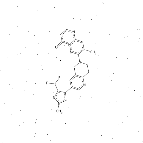 Cc1cc2nccc(=O)n2nc1N1CCc2ncc(-c3cn(C)nc3C(F)F)cc2C1